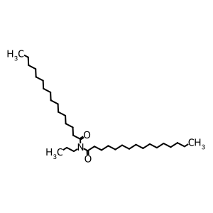 CCCCCCCCCCCCCCCC(=O)N(CCC)C(=O)CCCCCCCCCCCCCCC